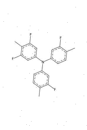 Cc1ccc(N(c2ccc(C)c(F)c2)c2cc(F)c(C)c(F)c2)cc1F